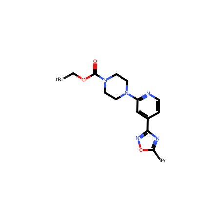 CC(C)c1nc(-c2ccnc(N3CCN(C(=O)OCC(C)(C)C)CC3)c2)no1